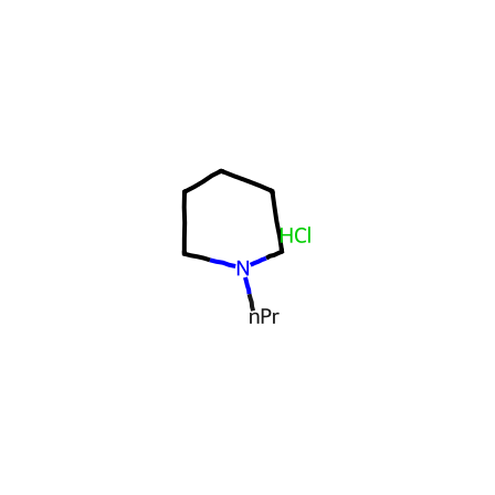 CCCN1CCCCC1.Cl